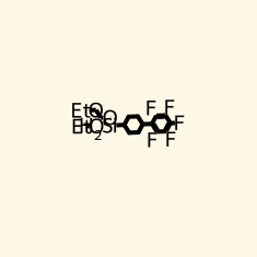 CCOC(OCC)O[SiH2]C1CCC(c2c(F)c(F)c(F)c(F)c2F)CC1